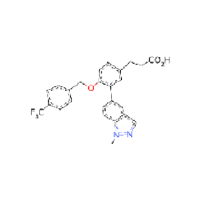 Cn1ncc2cc(-c3cc(CCC(=O)O)ccc3OCc3ccc(C(F)(F)F)cc3)ccc21